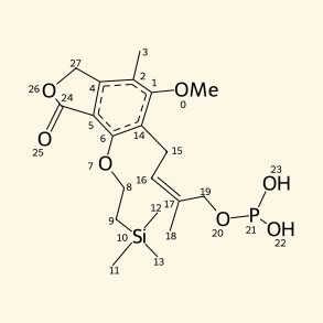 COc1c(C)c2c(c(OCC[Si](C)(C)C)c1CC=C(C)COP(O)O)C(=O)OC2